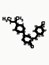 CCC(C)c1ccc(-c2ccc(=O)n(Cc3ccc(Cl)cc3)c2)cc1